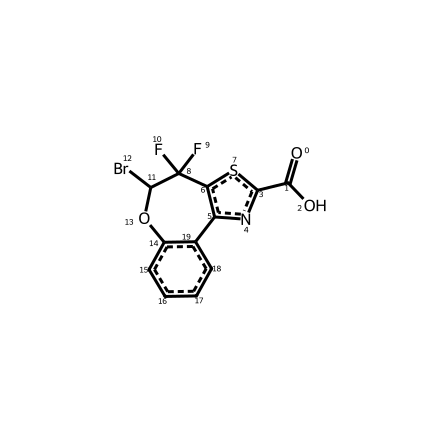 O=C(O)c1nc2c(s1)C(F)(F)C(Br)Oc1ccccc1-2